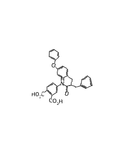 O=C(O)c1ccc(NC(=O)C(Cc2ccccc2)Cc2ccc(Oc3ccccc3)cc2)cc1C(=O)O